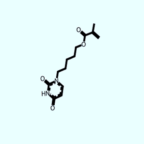 C=C(C)C(=O)OCCCCCn1ccc(=O)[nH]c1=O